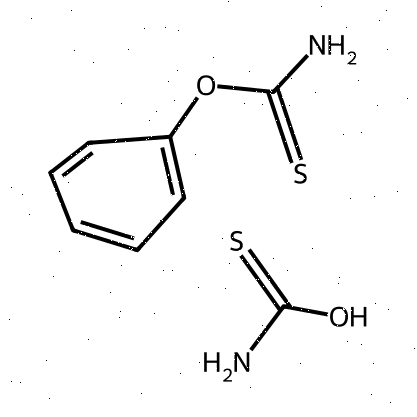 NC(=S)Oc1ccccc1.NC(O)=S